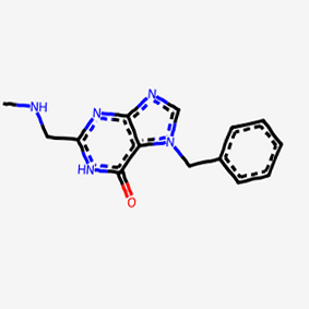 CNCc1nc2ncn(Cc3ccccc3)c2c(=O)[nH]1